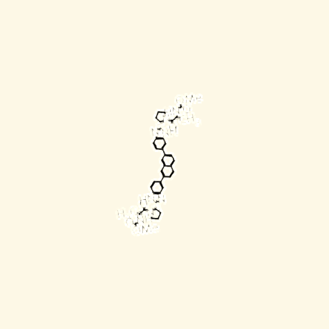 COC(=O)N[C@@H](C)C(=O)N1CCC[C@H]1c1nc2cc(-c3ccc4ccc(-c5ccc6nc([C@@H]7CCCN7C(=O)[C@H](C)NC(=O)OC)[nH]c6c5)cc4c3)ccc2[nH]1